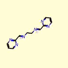 C(=N\CC/N=C/c1ncccn1)/c1ncccn1